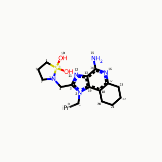 CC(C)Cn1c(CN2CCCS2(O)O)nc2c(N)nc3c(c21)CCCC3